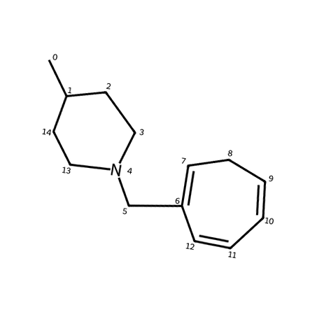 CC1CCN(CC2=CCC=CC=C2)CC1